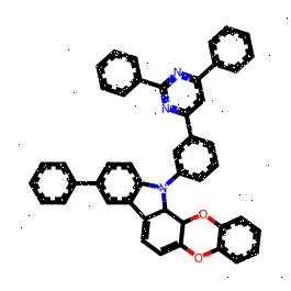 C1=C2Oc3ccccc3OC2C2C(=C1)c1cc(-c3ccccc3)ccc1N2c1cccc(-c2cc(-c3ccccc3)nc(-c3ccccc3)n2)c1